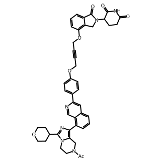 CC(=O)N1CCn2c(C3CCOCC3)nc(-c3cccc4cc(-c5ccc(OCC#CCOc6cccc7c6CN(C6CCC(=O)NC6=O)C7=O)cc5)ncc34)c2C1